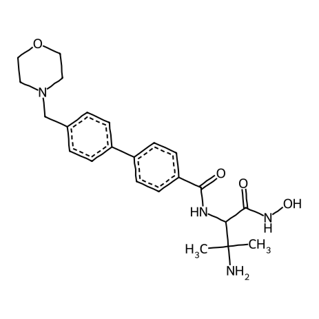 CC(C)(N)C(NC(=O)c1ccc(-c2ccc(CN3CCOCC3)cc2)cc1)C(=O)NO